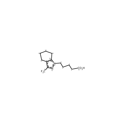 O=C(O)CCCCn1nc(C(F)(F)F)c2c1CCCC2